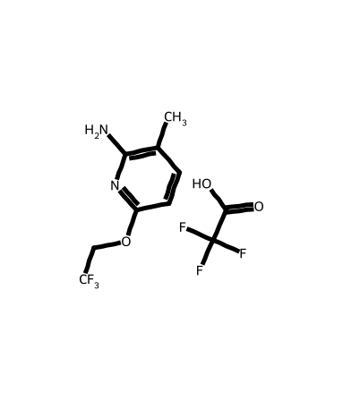 Cc1ccc(OCC(F)(F)F)nc1N.O=C(O)C(F)(F)F